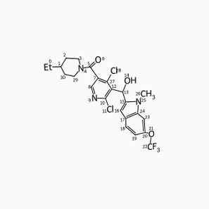 CCC1CCN(C(=O)c2cnc(Cl)c(C(O)c3cc4ccc(OC(F)(F)F)cc4n3C)c2Cl)CC1